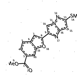 COC(=O)c1ccc2cc(-c3cn4nc(SC)sc4n3)oc2c1